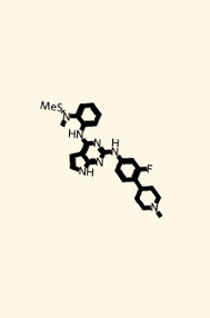 CSN(C)c1ccccc1Nc1nc(Nc2ccc(C3CCN(C)CC3)c(F)c2)nc2[nH]ccc12